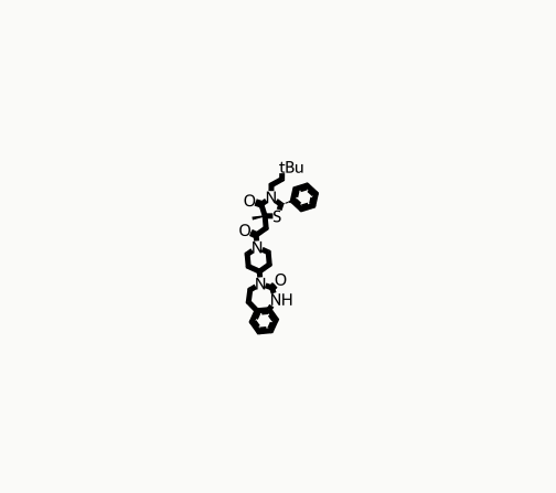 CC(C)(C)CCN1C(=O)[C@@](C)(CC(=O)N2CCC(N3CCc4ccccc4NC3=O)CC2)S[C@H]1c1ccccc1